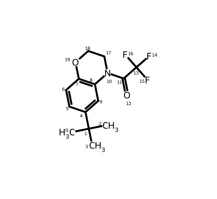 CC(C)(C)c1ccc2c(c1)N(C(=O)C(F)(F)F)CCO2